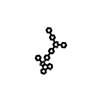 c1ccc(-c2ccc(-c3cc(-c4ccc(-c5ccc(-n6c(-c7ccccc7)nc7c8ccccc8c8ncccc8c76)cc5)cc4)nc(-c4ccccc4)n3)cc2)cc1